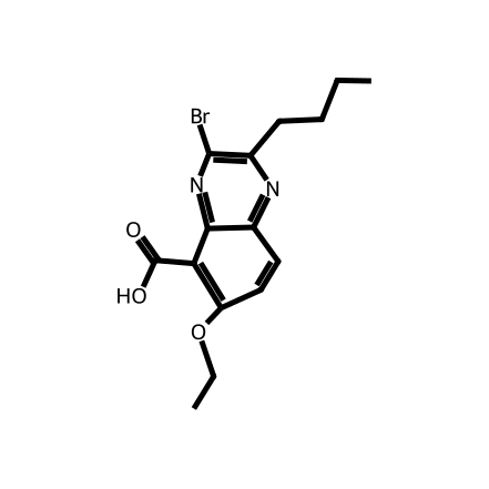 CCCCc1nc2ccc(OCC)c(C(=O)O)c2nc1Br